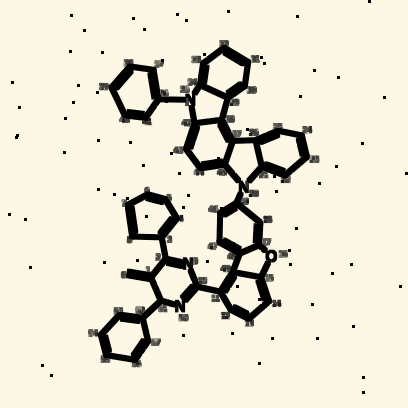 C=C1C(c2ccccc2)=NC(c2cccc3oc4cc(-n5c6ccccc6c6c7c8ccccc8n(-c8ccccc8)c7ccc65)ccc4c23)=NC1c1ccccc1